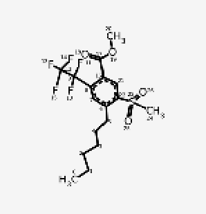 CCCCCCc1cc(C(F)(F)C(F)(F)F)c(C(=O)OC)cc1S(C)(=O)=O